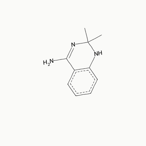 CC1(C)N=C(N)c2ccccc2N1